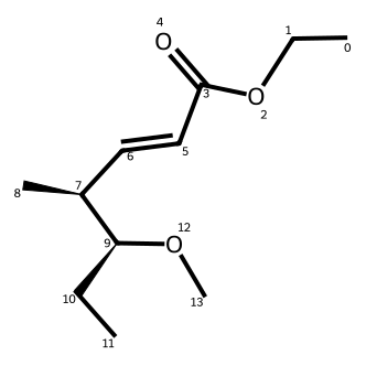 CCOC(=O)/C=C/[C@H](C)[C@H](CC)OC